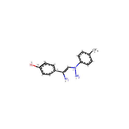 N/C(=C\N(N)c1ccc(C(F)(F)F)cc1)c1ccc(O)cc1